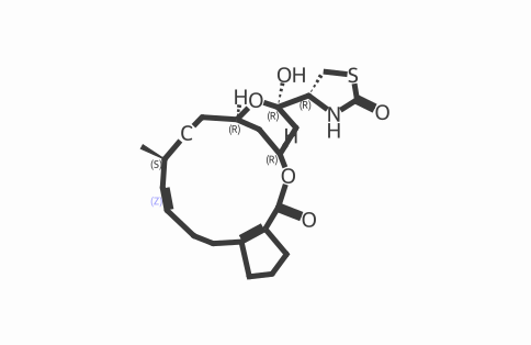 C[C@@H]1/C=C\CCC2=C(CCC2)C(=O)O[C@@H]2C[C@@H](CC1)O[C@@](O)([C@@H]1CSC(=O)N1)C2